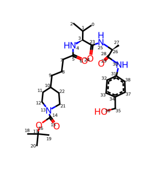 CC(C)[C@H](NC(=O)CCCC1CCN(C(=O)OC(C)(C)C)CC1)C(=O)N[C@@H](C)C(=O)Nc1ccc(CO)cc1